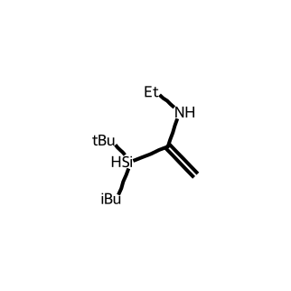 C=C(NCC)[SiH](C(C)CC)C(C)(C)C